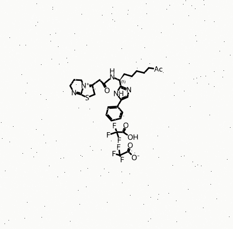 CC(=O)CCCCC[C@H](NC(=O)CC1=[N+]2CCCN=C2SC1)c1ncc(-c2ccccc2)[nH]1.O=C(O)C(F)(F)F.O=C([O-])C(F)(F)F